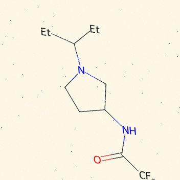 CCC(CC)N1CCC(NC(=O)C(F)(F)F)C1